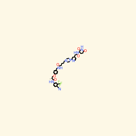 C[C@H](COc1ccc(CNC(=O)CCCCN2CCN(C3=NC=CC(CC(=O)NC4CCC(=O)NC4=O)C3)CC2)cc1)C(=O)Nc1ccc(C#N)c(C(F)(F)F)c1